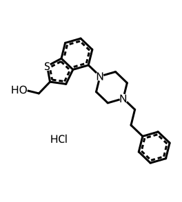 Cl.OCc1cc2c(N3CCN(CCc4ccccc4)CC3)cccc2s1